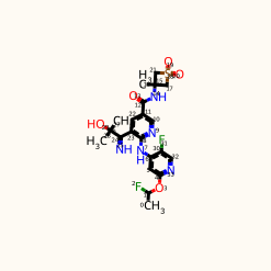 CC(F)Oc1cc(Nc2ncc(C(=O)NC3(C)CS(=O)(=O)C3)cc2C(=N)C(C)(C)O)c(F)cn1